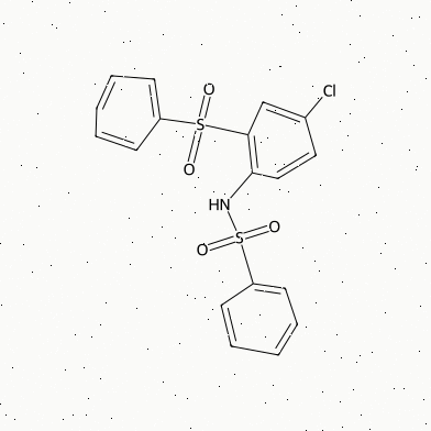 O=S(=O)(Nc1ccc(Cl)cc1S(=O)(=O)c1ccccc1)c1ccccc1